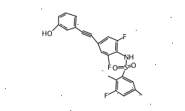 Cc1cc(F)c(C)c(S(=O)(=O)Nc2c(F)cc(C#Cc3cccc(O)c3)cc2F)c1